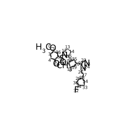 COc1ccc(OC)c([S+]([O-])N2CCCC2c2cccc(-c3cncn3CCc3ccc(F)cc3)c2)c1